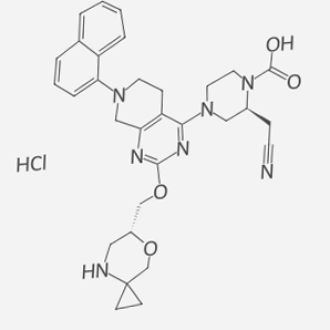 Cl.N#CC[C@H]1CN(c2nc(OC[C@H]3CNC4(CC4)CO3)nc3c2CCN(c2cccc4ccccc24)C3)CCN1C(=O)O